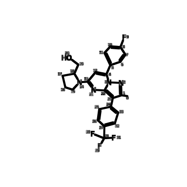 Cc1nn2c(-c3ccc(F)cc3)cc(N3CCCC3CO)nc2c1-c1ccc(C(F)(F)F)cc1